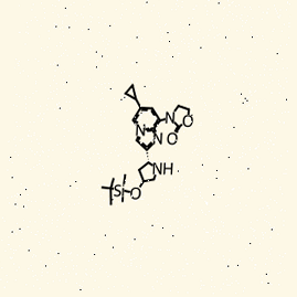 CC(C)(C)[Si](C)(C)OC1CN[C@@H](c2cn3cc(C4CC4)cc(N4CCOC4=O)c3n2)C1